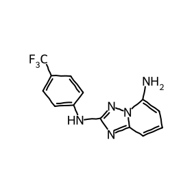 Nc1cccc2nc(Nc3ccc(C(F)(F)F)cc3)nn12